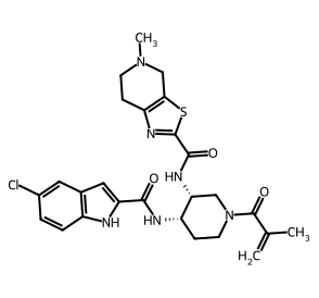 C=C(C)C(=O)N1CC[C@H](NC(=O)c2cc3cc(Cl)ccc3[nH]2)[C@H](NC(=O)c2nc3c(s2)CN(C)CC3)C1